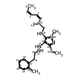 C/C=C\C=C/N(F)CNc1c(NNCCc2ccccc2C)c(SC)nn1C